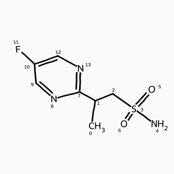 CC(CS(N)(=O)=O)c1ncc(F)cn1